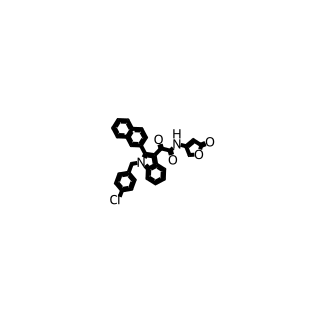 O=C1C=C(NC(=O)C(=O)c2c(-c3ccc4ccccc4c3)n(Cc3ccc(Cl)cc3)c3ccccc23)CO1